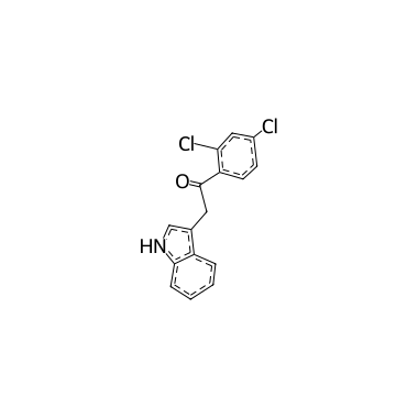 O=C(Cc1c[nH]c2ccccc12)c1ccc(Cl)cc1Cl